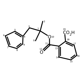 CC(C)(Cc1ccccc1)OC(=O)c1ccccc1C(=O)O